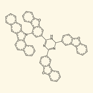 c1ccc2cc3c(cc2c1)c1ccc2ccccc2c1n3-c1cc(C2=NC(c3ccc4oc5ccccc5c4c3)=NC(c3ccc4oc5ccccc5c4c3)N2)cc2oc3ccccc3c12